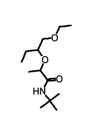 CCOCC(CC)OC(C)C(=O)NC(C)(C)C